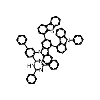 c1ccc(C2=NC(c3ccc(-c4ccccc4)cc3-n3c4ccccc4c4c(-c5cccc6c5c5ccccc5n6-c5ccccc5)cc(-c5cccc6c5sc5ccccc56)cc43)NC(c3ccccc3)=N2)cc1